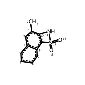 Cc1cc2ccccc2c2c1NS2(=O)=O